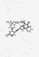 CC1(CO)CCN(c2cc(Cl)ncc2C#Cc2cnn(C3CCCCN3C(=O)OC(C)(C)C)c2)CC1